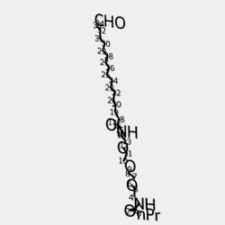 CCCC(=O)NCCOCCOCCOCCNC(=O)CCCCCCCCCCCCCCCCC=O